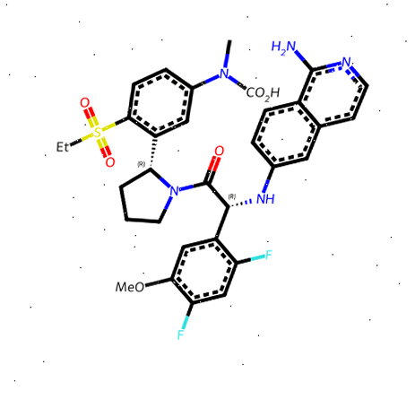 CCS(=O)(=O)c1ccc(N(C)C(=O)O)cc1[C@H]1CCCN1C(=O)[C@H](Nc1ccc2c(N)nccc2c1)c1cc(OC)c(F)cc1F